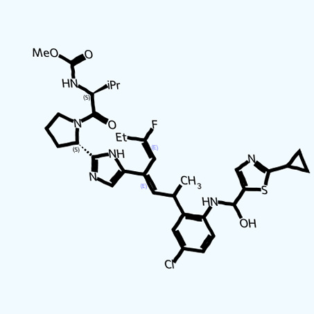 CC/C(F)=C\C(=C/C(C)c1cc(Cl)ccc1NC(O)c1cnc(C2CC2)s1)c1cnc([C@@H]2CCCN2C(=O)[C@@H](NC(=O)OC)C(C)C)[nH]1